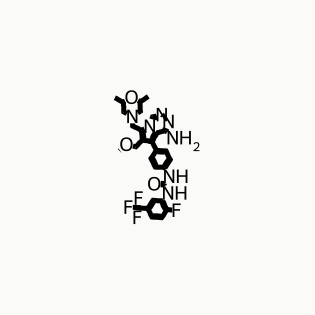 COCc1c(-c2ccc(NC(=O)Nc3cc(C(F)(F)F)ccc3F)cc2)c2c(N)nncn2c1CN1CC(C)OC(C)C1